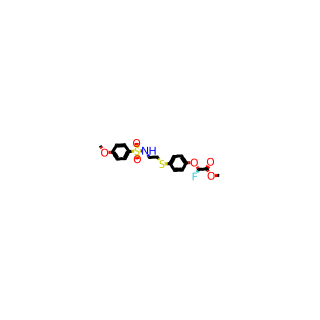 COC(=O)C(F)Oc1ccc(SCCNS(=O)(=O)c2ccc(OC)cc2)cc1